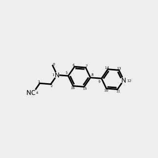 CN(CCC#N)c1ccc(-c2ccncc2)cc1